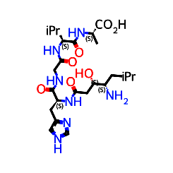 CC(C)C[C@H](N)[C@@H](O)CC(=O)N[C@@H](Cc1c[nH]cn1)C(=O)NCC(=O)N[C@H](C(=O)N[C@@H](C)C(=O)O)C(C)C